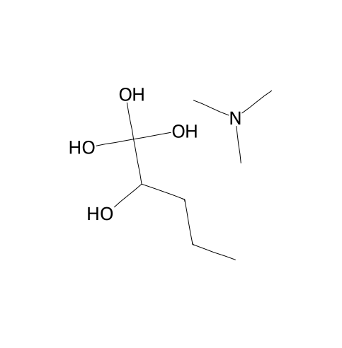 CCCC(O)C(O)(O)O.CN(C)C